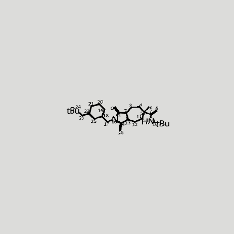 C=C1C2CCC(C)(C(=C)NC(C)(C)C)CCC2C(=C)N1CC1CCCC(CC(C)(C)C)C1